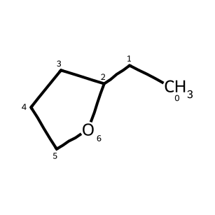 CCC1CCCO1